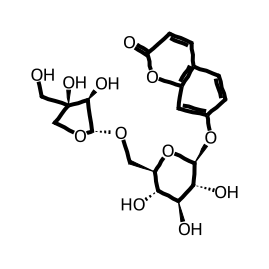 O=c1ccc2ccc(O[C@@H]3O[C@H](CO[C@@H]4OC[C@](O)(CO)[C@H]4O)[C@@H](O)[C@H](O)[C@H]3O)cc2o1